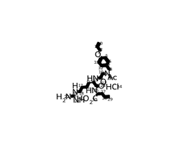 C=CCOc1ccc(CN(CC(=O)N[C@H](CCCCNC(=N)N)C(=O)N[C@@H](CC=C)C(=O)O)C(C)=O)cc1.Cl